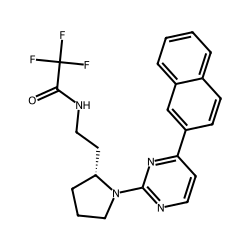 O=C(NCC[C@H]1CCCN1c1nccc(-c2ccc3ccccc3c2)n1)C(F)(F)F